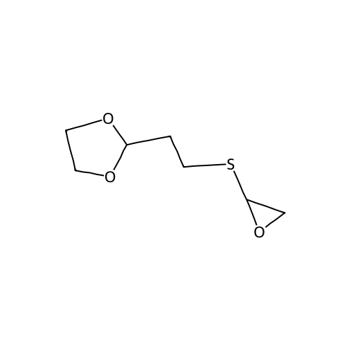 C1COC(CCSC2CO2)O1